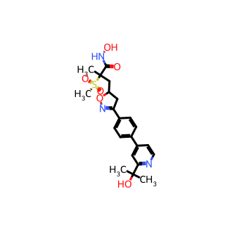 CC(C)(O)c1cc(-c2ccc(C3=NOC(CC(C)(C(=O)NO)S(C)(=O)=O)C3)cc2)ccn1